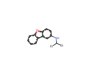 CCC(CC)Nc1ccc2oc3ccccc3c2c1